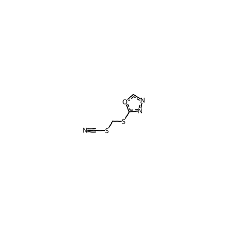 N#CSCSc1nnco1